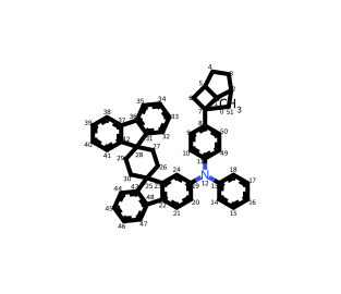 CC12C3CCC1CC2(c1ccc(N(c2ccccc2)c2ccc4c(c2)C2(CCC5(CC2)c2ccccc2-c2ccccc25)c2ccccc2-4)cc1)C3